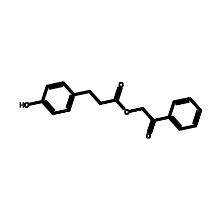 O=C(CCc1ccc(O)cc1)OCC(=O)c1ccccc1